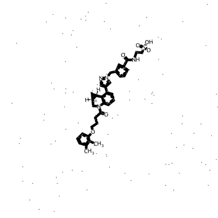 Cc1cccc(OCCCC(=O)N2C[C@H]3C[C@H]3c3c(-c4cnn(Cc5cccc(C(=O)NCCS(=O)(=O)O)c5)c4)cccc32)c1C